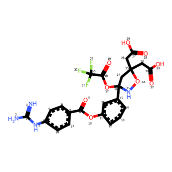 N=C(N)Nc1ccc(C(=O)Oc2cccc(C3(OC(=O)C(F)(F)F)CC(CC(=O)O)(CC(=O)O)ON3)c2)cc1